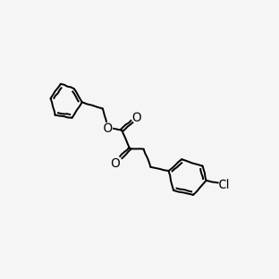 O=C(CCc1ccc(Cl)cc1)C(=O)OCc1ccccc1